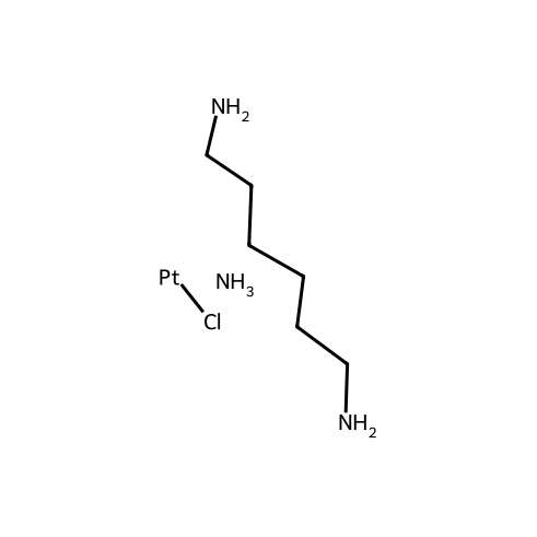 N.NCCCCCCN.[Cl][Pt]